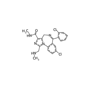 CNCc1nc(C(=O)NC)c2n1-c1ccc(Cl)cc1C(c1ccccc1Cl)=NC2